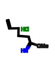 C=CCCCC(=N)OC.Cl